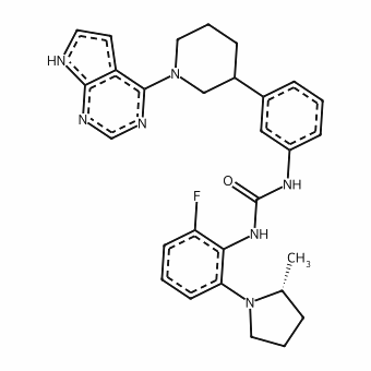 C[C@@H]1CCCN1c1cccc(F)c1NC(=O)Nc1cccc(C2CCCN(c3ncnc4[nH]ccc34)C2)c1